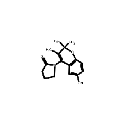 CC1=C(N2CCCC2=O)c2cc(C#N)ccc2OC1(C)C